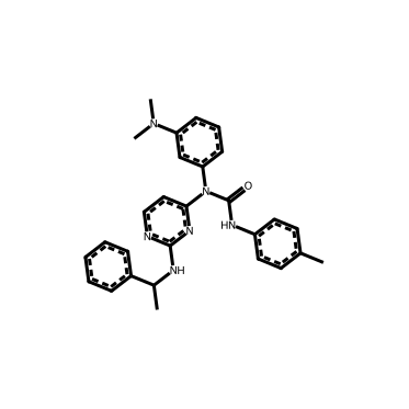 Cc1ccc(NC(=O)N(c2cccc(N(C)C)c2)c2ccnc(NC(C)c3ccccc3)n2)cc1